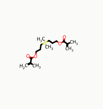 C=C(C)C(=O)OCCCS(C)(C)CCCOC(=O)C(=C)C